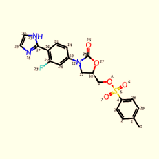 Cc1ccc(S(=O)(=O)OC[C@H]2CN(c3ccc(-c4ncc[nH]4)c(F)c3)C(=O)O2)cc1